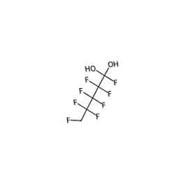 OC(O)(F)C(F)(F)C(F)(F)C(F)(F)CF